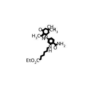 CCOC(=O)CCCCCCNc1cc(-n2nc(C)c3c2CC(C)(C)CC3=O)ccc1C(N)=O